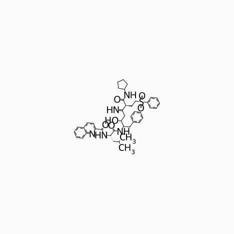 CC(C)C[C@H](NC(=O)c1ccc2ccccc2n1)C(=O)NC(Cc1ccccc1)C(O)CC(=N)[C@H](CCS(=O)(=O)c1ccccc1)C(=O)NC1CCCC1